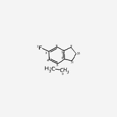 CC.Fc1ccc2c(c1)CCC2